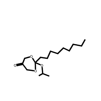 CCCCCCCCCC1(OC(C)C)OCC(=O)CO1